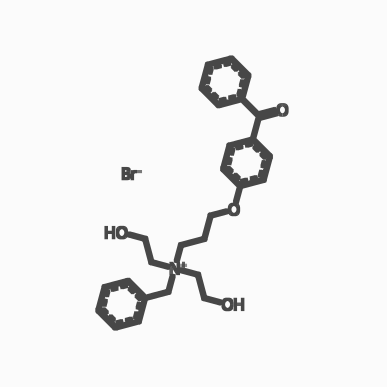 O=C(c1ccccc1)c1ccc(OCCC[N+](CCO)(CCO)Cc2ccccc2)cc1.[Br-]